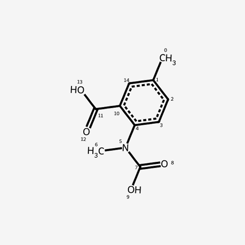 Cc1ccc(N(C)C(=O)O)c(C(=O)O)c1